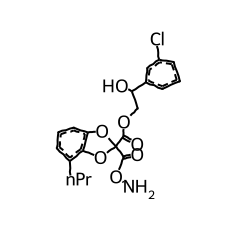 CCCc1cccc2c1OC(C(=O)ON)(C(=O)OCC(O)c1cccc(Cl)c1)O2